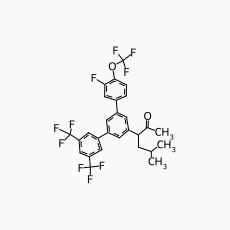 CC(=O)C(CC(C)C)c1cc(-c2cc(C(F)(F)F)cc(C(F)(F)F)c2)cc(-c2ccc(OC(F)(F)F)c(F)c2)c1